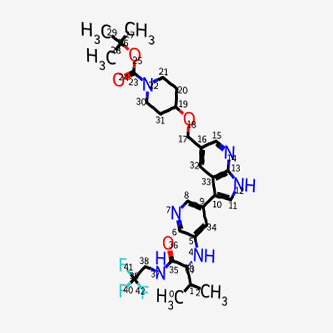 CC(C)[C@@H](Nc1cncc(-c2c[nH]c3ncc(COC4CCN(C(=O)OC(C)(C)C)CC4)cc23)c1)C(=O)NCC(F)(F)F